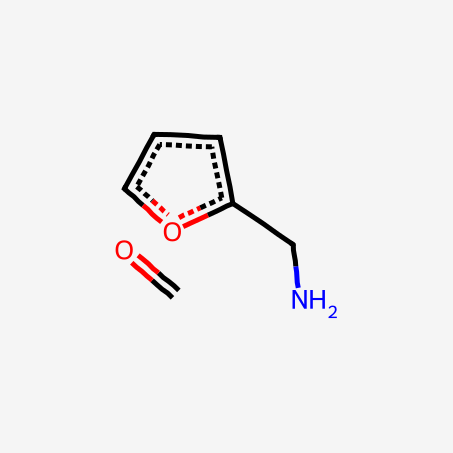 C=O.NCc1ccco1